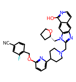 N#Cc1ccc(COc2cccc(C3CCN(Cc4nc5cc6ccnc(O)c6cc5n4C[C@@H]4CCCO4)CC3)n2)c(F)c1